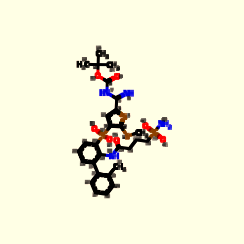 CSc1sc(C(=N)NC(=O)OC(C)(C)C)cc1S(=O)(=O)c1cccc(-c2ccccc2C)c1NC(=O)CCCS(N)(=O)=O